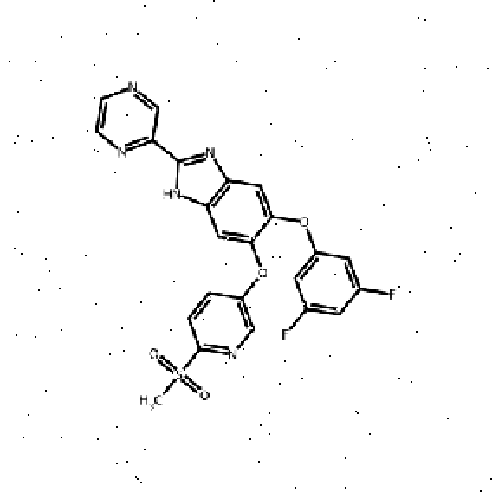 CS(=O)(=O)c1ccc(Oc2cc3[nH]c(-c4cnccn4)nc3cc2Oc2cc(F)cc(F)c2)cn1